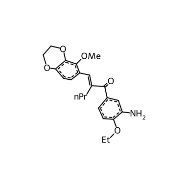 CCC/C(=C\c1ccc2c(c1OC)OCCO2)C(=O)c1ccc(OCC)c(N)c1